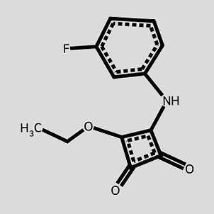 CCOc1c(Nc2cccc(F)c2)c(=O)c1=O